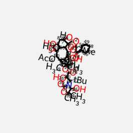 COC(=O)O[C@@]12CO[C@@H]1CC(O)[C@@]1(C)C(=O)[C@H](OC(C)=O)C3=C(C)[C@](C)(OC(=O)[C@H](O)[C@@H](N4C(=O)OC(C)(C)C4O)C(C)(C)C)C[C@@](O)([C@@H](OC(=O)c4ccccc4)C12)C3(C)C